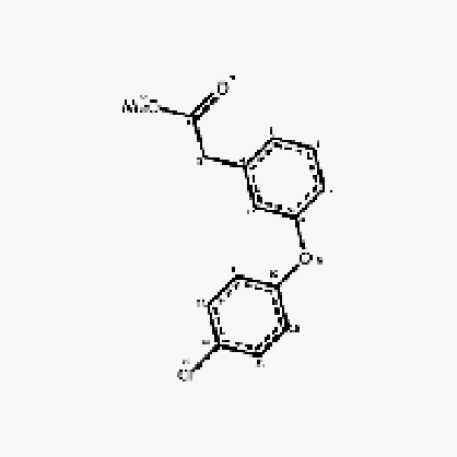 COC(=O)Cc1cccc(Oc2ccc(Cl)cc2)c1